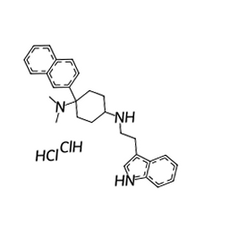 CN(C)C1(c2ccc3ccccc3c2)CCC(NCCc2c[nH]c3ccccc23)CC1.Cl.Cl